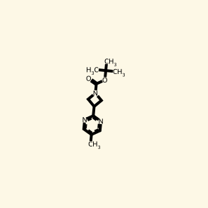 Cc1cnc(C2CN(C(=O)OC(C)(C)C)C2)nc1